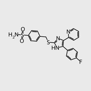 NS(=O)(=O)c1ccc(CSc2nc(-c3ccccn3)c(-c3ccc(F)cc3)[nH]2)cc1